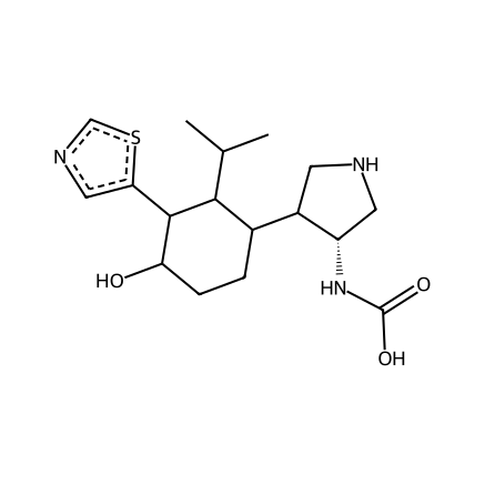 CC(C)C1C(C2CNC[C@@H]2NC(=O)O)CCC(O)C1c1cncs1